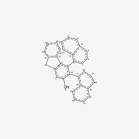 Oc1[c]c2c(c(-c3cccc4ccccc34)c1-c1cccc3ccccc13)-c1ccccc1C2